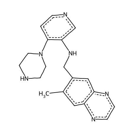 Cc1cc2nccnc2cc1CNc1cnccc1N1CCNCC1